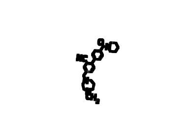 CN1CCCN(Cc2ccc(-c3ccc(C(=O)N4CCCCC4)cc3)c(C#N)c2)CC1